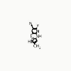 Cc1cc(Nc2nc(F)c(C#N)cc2F)n[nH]1